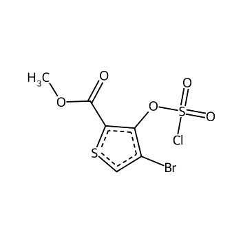 COC(=O)c1scc(Br)c1OS(=O)(=O)Cl